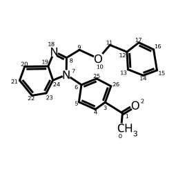 CC(=O)c1ccc(-n2c(COCc3ccccc3)nc3ccccc32)cc1